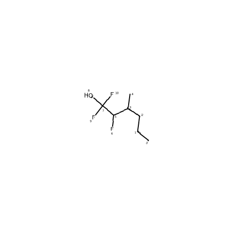 CCCC(C)C(F)C(O)(F)F